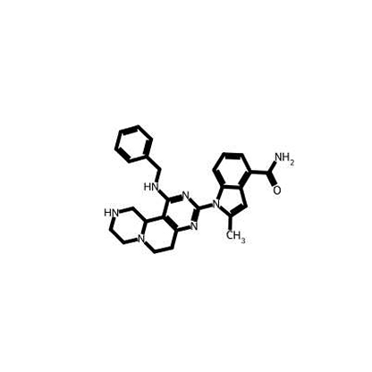 Cc1cc2c(C(N)=O)cccc2n1-c1nc2c(c(NCc3ccccc3)n1)C1CNCCN1CC2